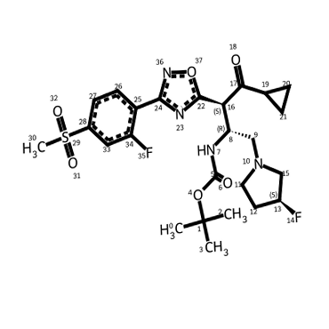 CC(C)(C)OC(=O)N[C@@H](CN1CC[C@H](F)C1)[C@H](C(=O)C1CC1)c1nc(-c2ccc(S(C)(=O)=O)cc2F)no1